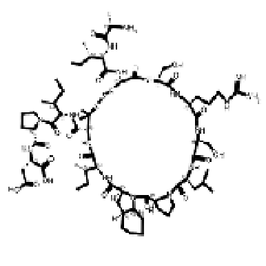 CC[C@H](C)[C@H](NC(=O)[C@H](C)N)C(=O)N[C@H]1CSSC(C)(C)[C@@H](C(=O)N[C@H](C(=O)N2CCC[C@H]2C(=O)N[C@@H](CC(=O)O)C(=O)O)[C@@H](C)CC)NC(=O)[C@H]([C@@H](C)CC)NC(=O)[C@@H]2C[C@@H]3CCCC[C@@H]3N2C(=O)[C@@H]2CCCN2C(=O)[C@H](CC(C)C)NC(=O)[C@H](CO)NC(=O)[C@H](CCCNC(=N)N)NC(=O)[C@H](CO)NC1=O